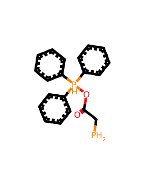 O=C(CP)O[PH](c1ccccc1)(c1ccccc1)c1ccccc1